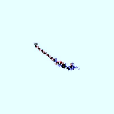 C#CCOCCOCCOCCOCCOCCOCCNC(=O)CC[C@H](Nc1ccc(NCc2cnc3nc(N)[nH]c(=O)c3n2)cc1)C(=O)O